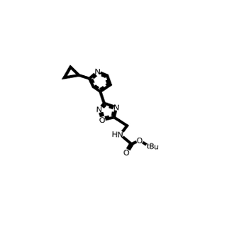 CC(C)(C)OC(=O)NCc1nc(-c2ccnc(C3CC3)c2)no1